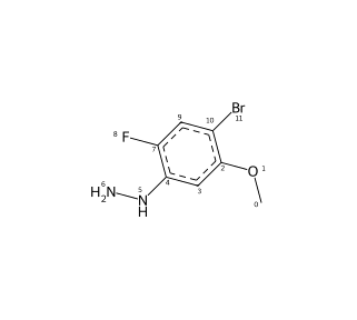 COc1cc(NN)c(F)cc1Br